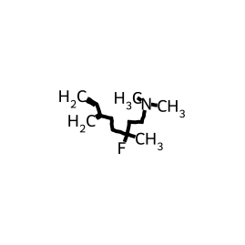 C=CC(=C)CCC(C)(F)CCN(C)C